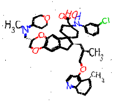 C[C@@H](COc1ccnc2c1[C@H](C)CCC2)C[C@H]1Cc2cc3c(cc2C12CCC(Nc1cccc(Cl)c1)(C(=O)O)CC2)O[C@@H](CN(C)C1CCOCC1)CO3